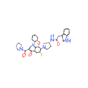 O=C(Cc1c[nH]c2ccccc12)NC1CCN(c2c(F)cc3c(=O)c(C(=O)N4CCCC4)cn4c3c2Oc2ccccc2-4)C1